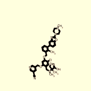 Cc1c(COc2cc(OCc3cncc(C#N)c3)c(CN(C)C(C)(CO)C(=O)O)cc2Cl)cccc1-c1ccc2oc(N3CCN(C)CC3)nc2c1